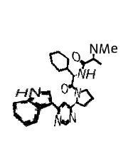 CN[C@@H](C)C(=O)N[C@H](C(=O)N1CCC[C@H]1c1cc(-c2c[nH]c3ccccc23)ncn1)C1CCCCC1